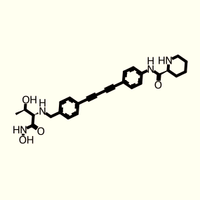 C[C@@H](O)[C@H](NCc1ccc(C#CC#Cc2ccc(NC(=O)[C@@H]3CCCCN3)cc2)cc1)C(=O)NO